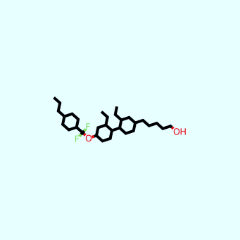 CCCC1CCC(C(F)(F)OC2CCC(C3CCC(CCCCCO)CC3CC)C(CC)C2)CC1